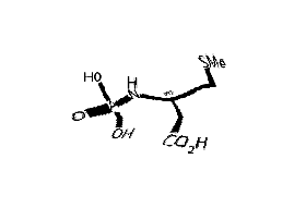 CSC[C@H](NP(=O)(O)O)C(=O)O